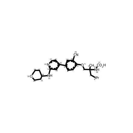 CC(C)CC(C)(COc1ccc(-c2ccnc(NC3CCOCC3)c2)cc1C#N)NC(=O)O